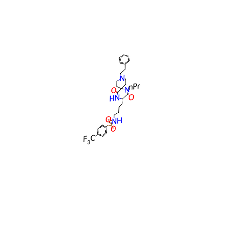 CCCN1C(=O)[C@H](CCCCNS(=O)(=O)c2ccc(C(F)(F)F)cc2)NC(=O)C12CCN(CCc1ccccc1)CC2